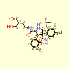 CC(C)(C)C[C@H]1N[C@@H](C(=O)NCCC(CO)CO)[C@H](c2cccc(Cl)c2F)[C@@]12C(=O)Nc1cc(Cl)c(F)cc12